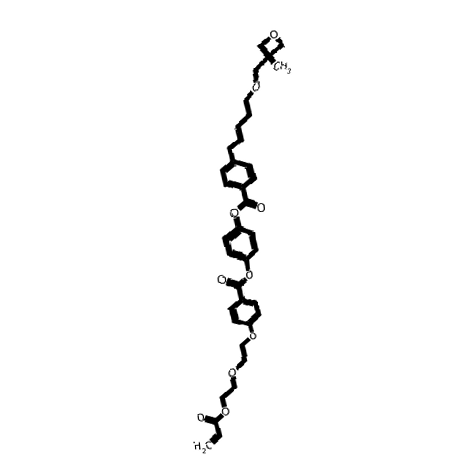 C=CC(=O)OCCOCCOc1ccc(C(=O)Oc2ccc(OC(=O)c3ccc(CCCCCOCC4(C)COC4)cc3)cc2)cc1